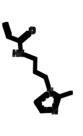 C=CC(=O)NCCCn1ccnc1C